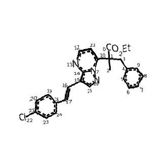 CCOC(=O)C(C)(Cc1ccccc1)c1ccnc2c(/C=C/c3ccc(Cl)cc3)cnn12